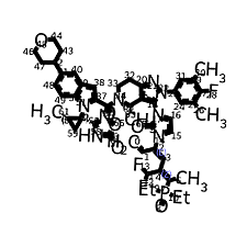 C=C/C(=C\C(=C(/C)P(=O)(CC)CC)C(F)F)n1ccn(-c2c3c(nn2-c2cc(C)c(F)c(C)c2)CCN(C(=O)c2cc4cc(C5CCOCC5)ccc4n2[C@@]2(c4noc(=O)[nH]4)C[C@@H]2C)[C@H]3C)c1=O